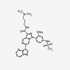 COc1cc(NS(C)(=O)=O)ccc1-n1nc(C(=O)NCCCN(C)C)c2cnc(-c3cnn4cccnc34)cc21